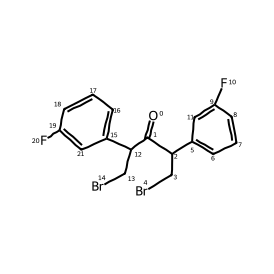 O=C(C(CBr)c1cccc(F)c1)C(CBr)c1cccc(F)c1